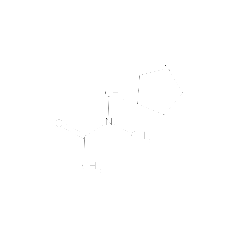 C1CCNC1.CC(=O)N(C)C